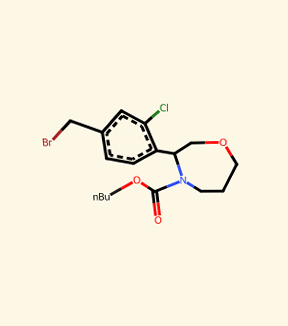 CCCCOC(=O)N1CCCOCC1c1ccc(CBr)cc1Cl